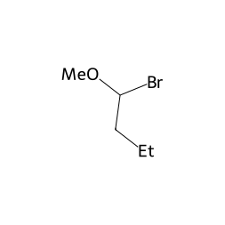 [CH2]CCC(Br)OC